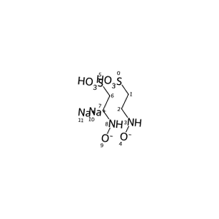 O=S(=O)(O)CCN[O-].O=S(=O)(O)CCN[O-].[Na+].[Na+]